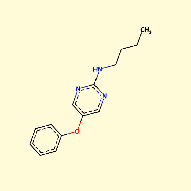 CCCCNc1ncc(Oc2ccccc2)cn1